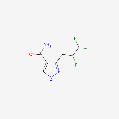 NC(=O)c1c[nH]nc1CC(F)C(F)F